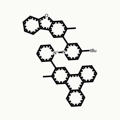 Cc1cc2oc3ccccc3c2cc1-c1cc(C(C)(C)C)cc[n+]1-[n+]1ccccc1-c1cc2c3ccccc3c3ccccc3c2cc1C